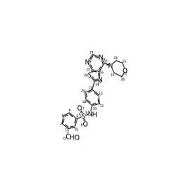 O=Cc1cccc(S(=O)(=O)Nc2ccc(-c3nc4c(N5CCOCC5)ncnc4s3)cc2)c1